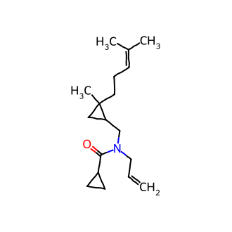 C=CCN(CC1CC1(C)CCC=C(C)C)C(=O)C1CC1